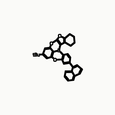 CC(C)(C)c1cc2c3c(c1)Oc1oc4c(c1B3c1ccc(-c3cccc5ccccc35)cc1O2)CCCC4